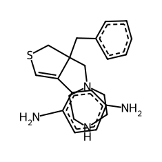 Nc1ccc(N)c(C2=CSCC2(Cc2ccccc2)CN2CCNCC2)c1